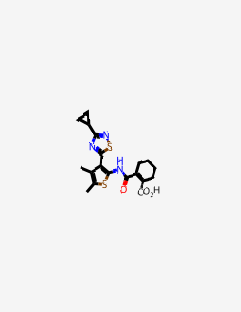 Cc1sc(NC(=O)C2=C(C(=O)O)CCCC2)c(-c2nc(C3CC3)ns2)c1C